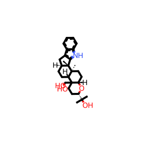 CC(C)(O)[C@@H]1C[C@@H](O)C2(CO)[C@H](CC[C@@]3(C)[C@H]2CC[C@H]2Cc4c([nH]c5ccccc45)[C@@]23C)O1